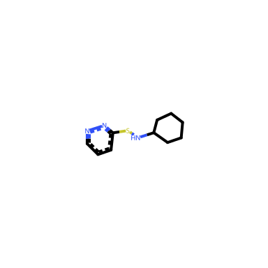 c1cnnc(SNC2CCCCC2)c1